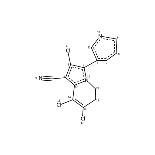 N#Cc1c(Cl)c(-c2cccnc2)n2c1C(Cl)=C(Cl)CC2